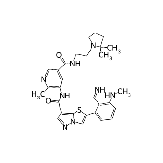 CNc1cccc(-c2cn3ncc(C(=O)Nc4cc(C(=O)NCCN5CCCC5(C)C)cnc4C)c3s2)c1C=N